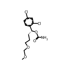 COCOCCC[C@@H](OC(N)=O)c1ccc(Cl)cc1Cl